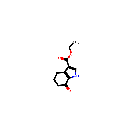 CCOC(=O)c1c[nH]c2c1CCCC2=O